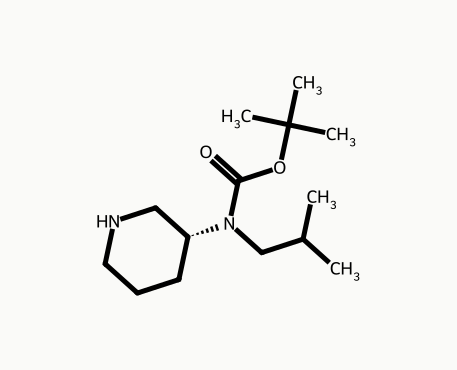 CC(C)CN(C(=O)OC(C)(C)C)[C@@H]1CCCNC1